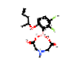 C=CCC(C)Oc1ccc(F)c(F)c1B1OC(=O)CN(C)CC(=O)O1